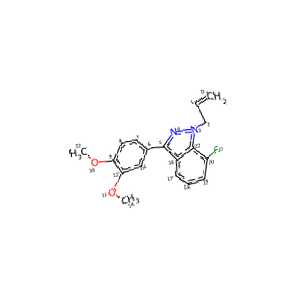 C=CCn1nc(-c2ccc(OC)c(OC)c2)c2cccc(F)c21